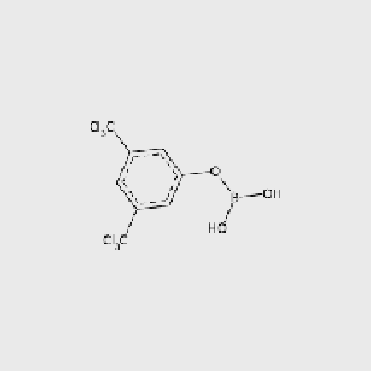 OB(O)Oc1cc(C(Cl)(Cl)Cl)cc(C(Cl)(Cl)Cl)c1